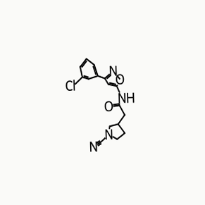 N#CN1CCC(CC(=O)Nc2cc(-c3cccc(Cl)c3)no2)C1